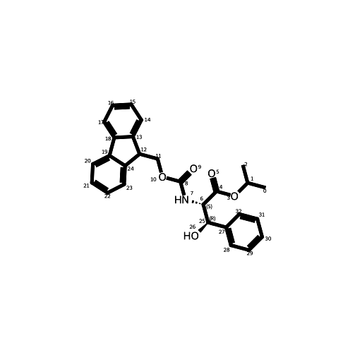 CC(C)OC(=O)[C@@H](NC(=O)OCC1c2ccccc2-c2ccccc21)[C@H](O)c1ccccc1